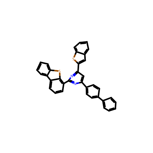 c1ccc(-c2ccc(-c3cc(-c4cc5ccccc5s4)nc(-c4cccc5c4sc4ccccc45)n3)cc2)cc1